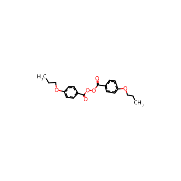 CCCOc1ccc(C(=O)OOC(=O)c2ccc(OCCC)cc2)cc1